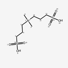 C[N+](C)(CCCS(=O)(=O)O)CCCS(=O)(=O)O